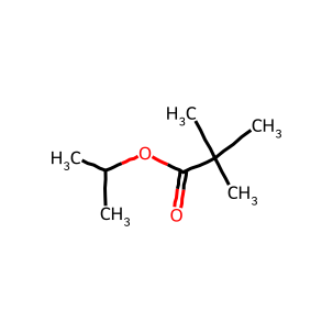 CC(C)OC(=O)C(C)(C)C